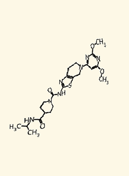 COc1cc(N2CCc3nc(NC(=O)N4CCC(C(=O)NC(C)C)CC4)sc3C2)nc(OC)n1